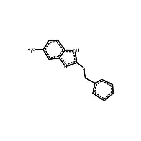 Cc1ccc2[nH]c(SCc3ccccc3)nc2c1